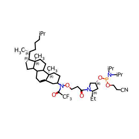 CC[C@@H]1C[C@@H](OP(OCCC#N)N(C(C)C)C(C)C)CN1C(=O)CCON(C(=O)C(F)(F)F)C1CC[C@@]2(C)C(=CCC3C2CC[C@@]2(C)C3CC[C@@H]2[C@H](C)CCCC(C)C)C1